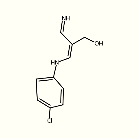 N=C/C(=C\Nc1ccc(Cl)cc1)CO